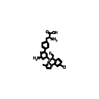 Cc1ccn(-c2cc(Cl)ccc2C(CF)Oc2cc(-c3ccc(C[C@H](N)C(=O)O)cc3)nc(N)n2)n1